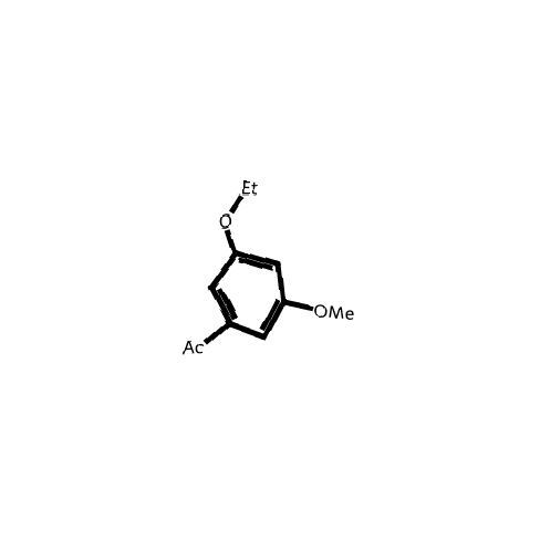 CCOc1cc(OC)cc(C(C)=O)c1